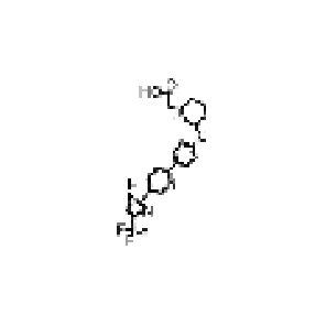 O=C(O)C[C@H]1CCCC(Oc2ccc(-c3ccc(-c4nc(C(F)(F)F)c[nH]4)cn3)cc2)C1